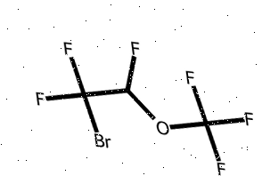 FC(OC(F)(F)F)C(F)(F)Br